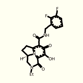 CCN1C[C@H]2CCc3c(C(=O)NCc4cccc(F)c4F)c(=O)c(O)c(n32)C1=O